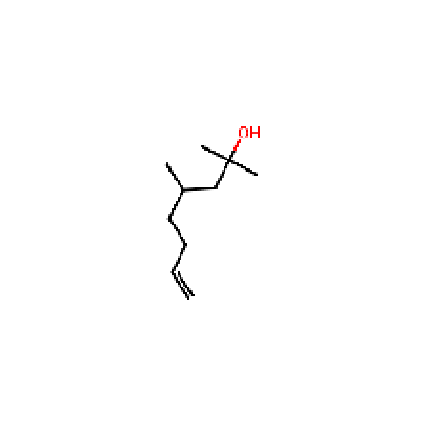 C=CCCC(C)CC(C)(C)O